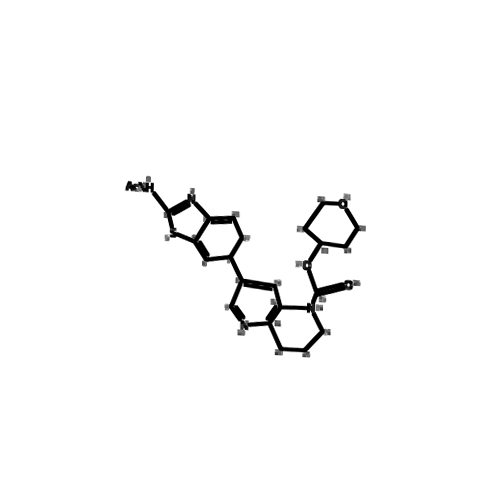 CC(=O)Nc1nc2c(s1)=CC(c1cnc3c(c1)N(C(=O)OC1CCOCC1)CCC3)CC=2